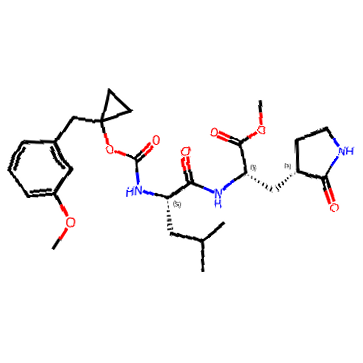 COC(=O)[C@H](C[C@@H]1CCNC1=O)NC(=O)[C@H](CC(C)C)NC(=O)OC1(Cc2cccc(OC)c2)CC1